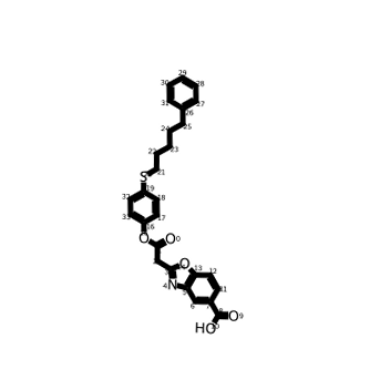 O=C(Cc1nc2cc(C(=O)O)ccc2o1)Oc1ccc(SCCCCCc2ccccc2)cc1